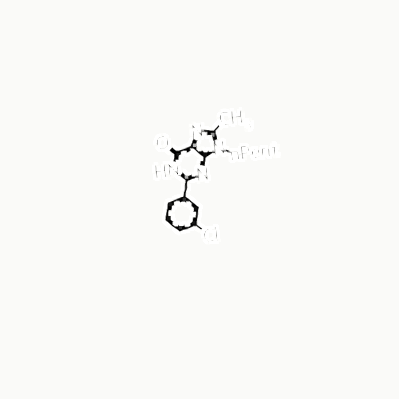 CCCCCn1c(C)nc2c(=O)[nH]c(-c3cccc(Cl)c3)nc21